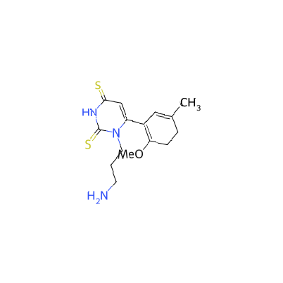 COC1=C(c2cc(=S)[nH]c(=S)n2CCCN)C=C(C)CC1